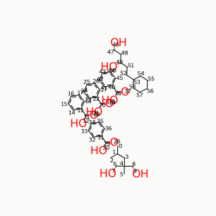 CC(C)CC(C)(CO)CO.O=C(O)c1ccccc1.O=C(O)c1ccccc1.O=C(O)c1ccccc1.O=C(O)c1ccccc1.OCCC(O)CCC1CCCCC1